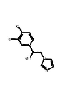 CCCCC(Cn1ccnc1)c1ccc(Cl)c(Cl)c1